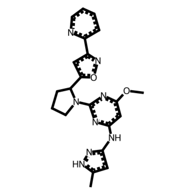 COc1cc(Nc2cc(C)[nH]n2)nc(N2CCCC2c2cc(-c3ccccn3)no2)n1